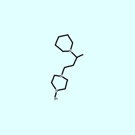 CC(C)N1CCN(CCC(C)N2CCCCC2)CC1